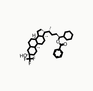 C[C@H](CC[C@H](OC(=O)c1ccccc1)C1CCCCC1)[C@H]1CCC2[C@@H]3CCC4C[C@](O)(C(F)(F)F)CC[C@]4(C)C3CC[C@@]21C